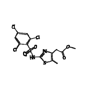 COC(=O)Cc1nc(NS(=O)(=O)c2c(Cl)cc(Cl)cc2Cl)sc1C